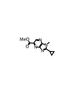 COC(=O)c1cnc2c(n1)nc(C1CC1)n2C